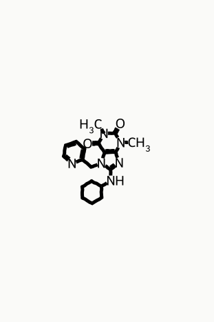 Cn1c(=O)c2c(nc(NC3CCCCC3)n2Cc2ccccn2)n(C)c1=O